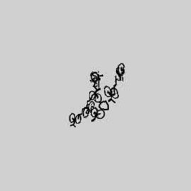 C=C(C)C(=O)OCCCC(CCOC(=O)C(=C)C[Si](C)(C)O[Si](C)(C)C)[Si](C)(OC)OC.C=C(C)C(=O)OCCC[Si](C)(C)OC.C=CC(=O)OC1CCCCC1